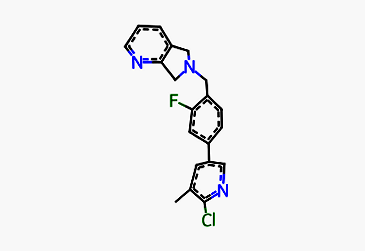 Cc1cc(-c2ccc(CN3Cc4cccnc4C3)c(F)c2)cnc1Cl